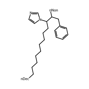 CCCCCCCCCCCCCCCCCCCC(C(CCCCCCCCC)Cc1ccccc1)n1ccnc1